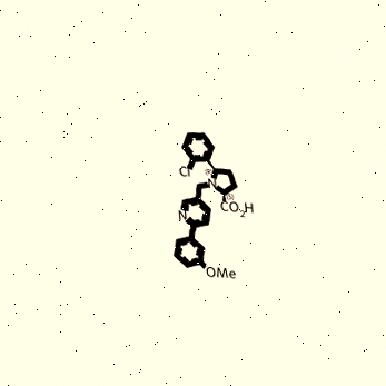 COc1cccc(-c2ccc(CN3[C@@H](c4ccccc4Cl)CC[C@H]3C(=O)O)cn2)c1